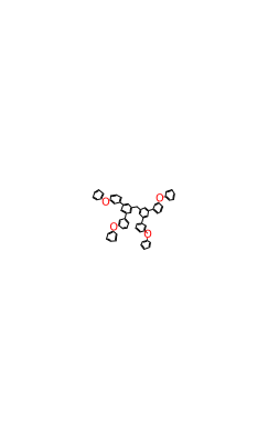 c1ccc(Oc2cccc(-c3cc(Cc4cc(-c5cccc(Oc6ccccc6)c5)cc(-c5cccc(Oc6ccccc6)c5)c4)cc(-c4cccc(Oc5ccccc5)c4)c3)c2)cc1